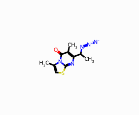 Cc1c(C(C)N=[N+]=[N-])nc2scc(C)n2c1=O